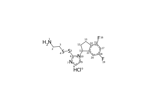 Cl.NCCSSc1nccn1C1CCc2c(F)cc(F)cc21